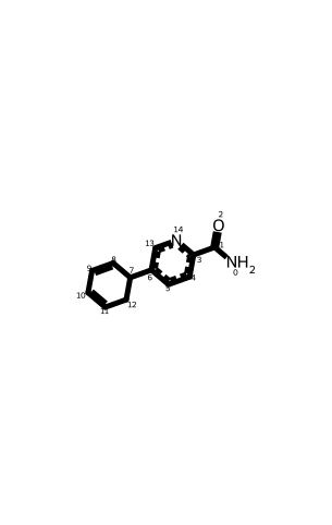 NC(=O)c1ccc(C2C=CC=CC2)cn1